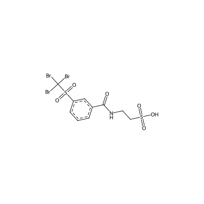 O=C(NCCS(=O)(=O)O)c1cccc(S(=O)(=O)C(Br)(Br)Br)c1